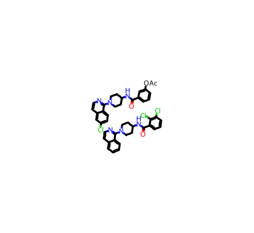 CC(=O)Oc1cccc(C(=O)NC2CCN(c3nccc4cc(Cl)ccc34)CC2)c1.O=C(NC1CCN(c2nccc3ccccc23)CC1)c1cccc(Cl)c1Cl